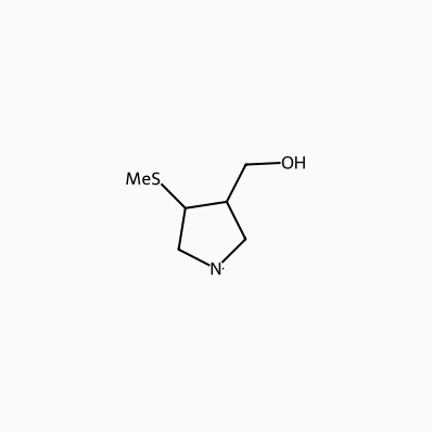 CSC1C[N]CC1CO